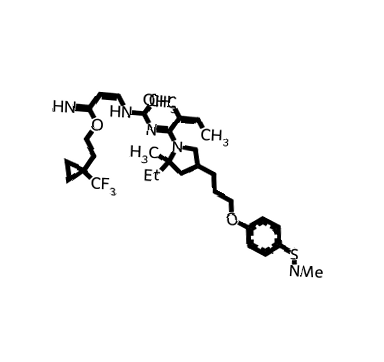 C/C=C(C=O)\C(=N/C(C)N/C=C\C(=N)OCCC1(C(F)(F)F)CC1)N1CC(CCCOc2ccc(SNC)cc2)CC1(C)CC